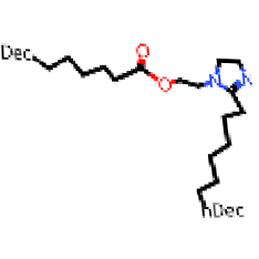 CCCCCCCCCCCCCCCCC1=NCCN1CCOC(=O)CCCCCCCCCCCCCCC